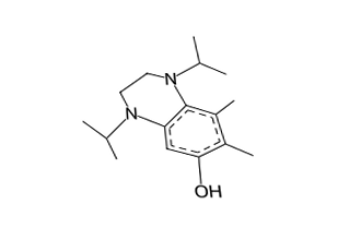 Cc1c(O)cc2c(c1C)N(C(C)C)CCN2C(C)C